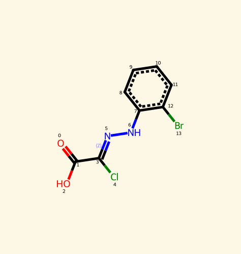 O=C(O)/C(Cl)=N/Nc1ccccc1Br